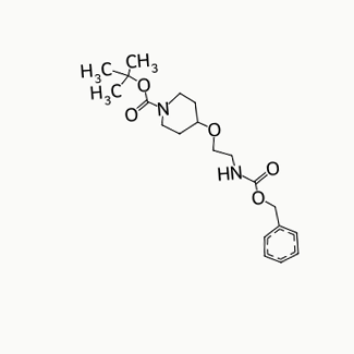 CC(C)(C)OC(=O)N1CCC(OCCNC(=O)OCc2ccccc2)CC1